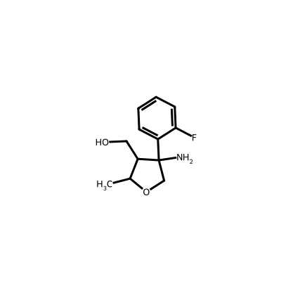 CC1OCC(N)(c2ccccc2F)C1CO